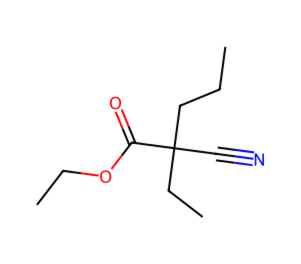 CCCC(C#N)(CC)C(=O)OCC